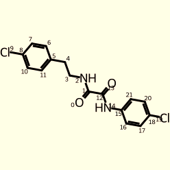 O=C(NCCc1ccc(Cl)cc1)C(=O)Nc1ccc(Cl)cc1